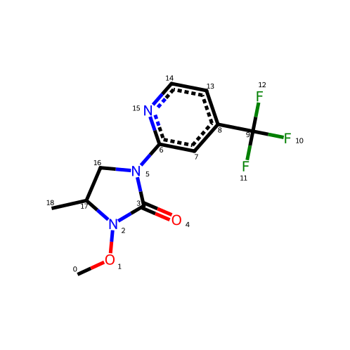 CON1C(=O)N(c2cc(C(F)(F)F)ccn2)CC1C